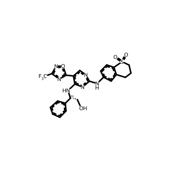 O=S1(=O)CCCc2cc(Nc3ncc(-c4nc(C(F)(F)F)no4)c(N[C@H](CO)c4ccccc4)n3)ccc21